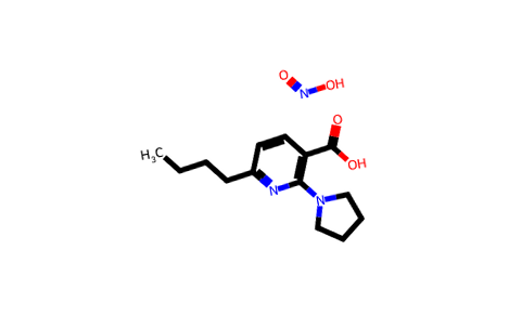 CCCCc1ccc(C(=O)O)c(N2CCCC2)n1.O=NO